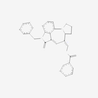 O=C(O/C=C1\C=C2C(=O)N(Cc3ccccc3)c3cccc(c32)N2CCCC12)c1ccccc1